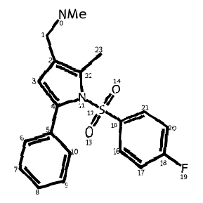 CNCc1cc(-c2ccccc2)n(S(=O)(=O)c2ccc(F)cc2)c1C